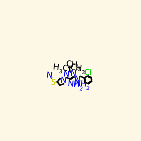 CC(C)(C)c1nc(N(N)Cc2ccccc2Cl)c(N)c(N2CCC(SC#N)C2)n1